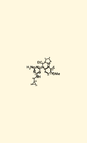 CCC(C1CCCN1)N(c1ccc(OC)c(F)c1)c1nc(N)nc(NCC2CC2)n1